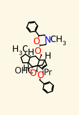 CC(C)C1=C[C@H]2C[C@@]3(C=O)[C@@H]4CC[C@@H](C)[C@H]4C[C@@]2(CO[C@H]2CN(C)CC(c4ccccc4)O2)[C@]13C(=O)OCc1ccccc1